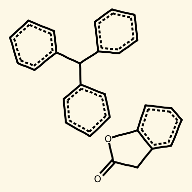 O=C1Cc2ccccc2O1.c1ccc(C(c2ccccc2)c2ccccc2)cc1